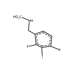 O=C(O)NCc1ccc(F)c(I)c1F